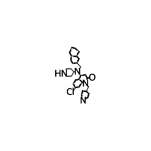 O=c1cc(N(Cc2ccc3ccccc3c2)C2CCNCC2)c2ccc(Cl)cc2n1Cc1ccncc1